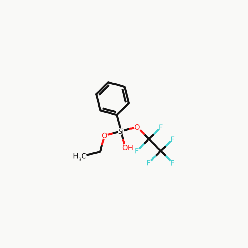 CCO[Si](O)(OC(F)(F)C(F)(F)F)c1ccccc1